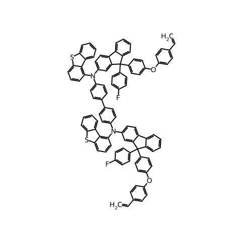 C=Cc1ccc(Oc2ccc(C3(c4ccc(F)cc4)c4ccccc4-c4ccc(N(c5ccc(-c6ccc(N(c7ccc8c(c7)C(c7ccc(F)cc7)(c7ccc(Oc9ccc(C=C)cc9)cc7)c7ccccc7-8)c7cccc8sc9ccccc9c78)cc6)cc5)c5cccc6sc7ccccc7c56)cc43)cc2)cc1